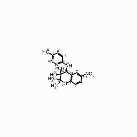 CC1(C)Oc2ccc([N+](=O)[O-])cc2C(Nc2ccc(O)nn2)C1(C)O